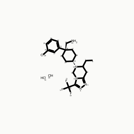 CCC1Cc2nnc(C(F)(F)F)n2CN1[C@H]1CC[C@@](CN)(c2cccc(Cl)c2)CC1.Cl.Cl